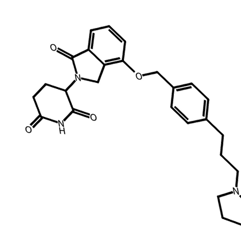 O=C1CCC(N2Cc3c(OCc4ccc(CCCN5CCCC5)cc4)cccc3C2=O)C(=O)N1